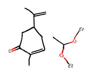 C=C(C)C1CC=C(C)C(=O)C1.CCOC(C)OCC